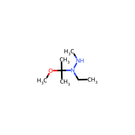 CCN(NC)C(C)(C)OC